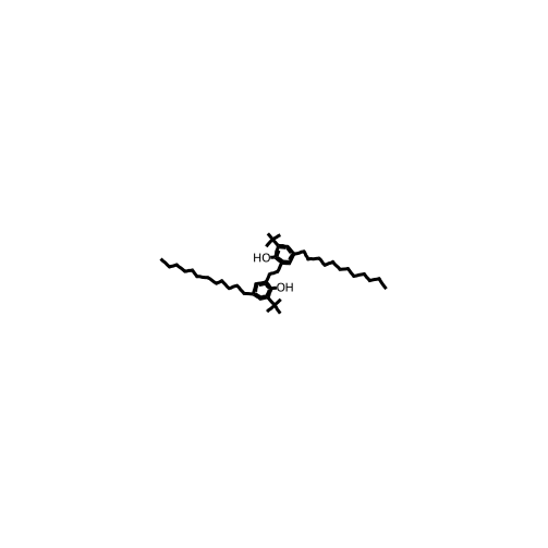 CCCCCCCCCCCCc1cc(CCc2cc(CCCCCCCCCCCC)cc(C(C)(C)C)c2O)c(O)c(C(C)(C)C)c1